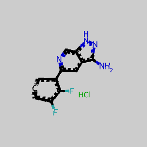 Cl.Nc1n[nH]c2cnc(-c3cccc(F)c3F)cc12